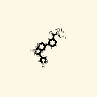 CN(C)C(=O)c1cccc(-c2cnc3[nH]nc(-c4cn[nH]c4)c3c2)c1